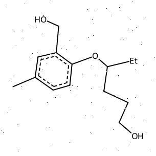 CCC(CCCO)Oc1[c]cc(C)cc1CO